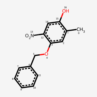 Cc1cc(OCc2ccccc2)c([N+](=O)[O-])cc1O